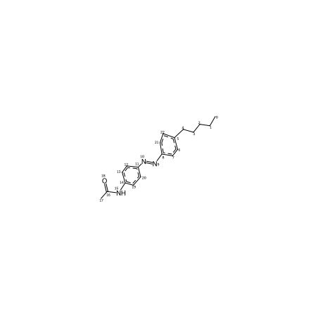 CCCCCc1ccc(/N=N/c2ccc(NC(C)=O)cc2)cc1